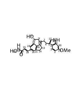 COc1ccc2c(CCN(CCO)C3CCc4cc(/C=C/C(=O)NO)ccc43)c[nH]c2c1